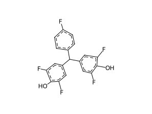 Oc1c(F)cc(C(c2ccc(F)cc2)c2cc(F)c(O)c(F)c2)cc1F